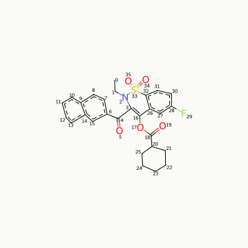 CCN1C(C(=O)c2ccc3ccccc3c2)=C(OC(=O)C2CCCCC2)c2cc(F)ccc2S1(=O)=O